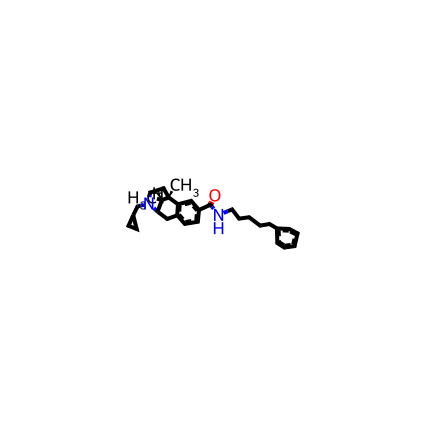 C[C@H]1C2Cc3ccc(C(=O)NCCCCCc4ccccc4)cc3[C@@]1(C)CCN2CC1CC1